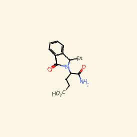 CCC1c2ccccc2C(=O)N1C(CCC(=O)O)C(N)=O